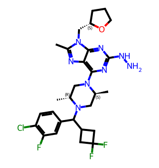 Cc1nc2c(N3C[C@@H](C)N(C(c4ccc(Cl)c(F)c4)C4CC(F)(F)C4)C[C@@H]3C)nc(NN)nc2n1C[C@@H]1CCCO1